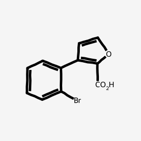 O=C(O)c1occc1-c1ccccc1Br